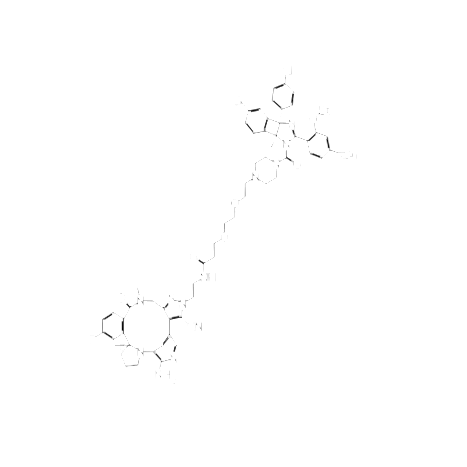 CCOc1cc(C(C)(C)C)ccc1C1=N[C@]2(c3ccc(Cl)cc3)c3cc(Cl)ccc3[C@@]2(C)N1C(=O)N1CCN(CCOCCOCCC(=O)NCCn2nc3c(c2C#N)-c2cnc(N)c(c2)N2CCC[C@@H]2c2cc(F)ccc2C(=O)N(C)C3)CC1